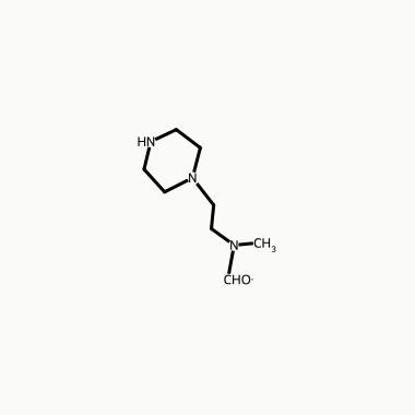 CN([C]=O)CCN1CCNCC1